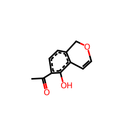 CC(=O)c1ccc2c(c1O)C=COC2